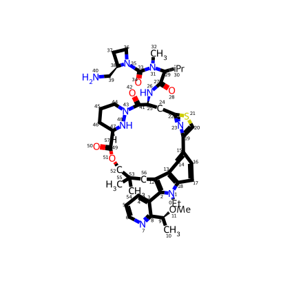 CCn1c(-c2cccnc2[C@H](C)OC)c2c3cc(ccc31)-c1csc(n1)C[C@H](NC(=O)C(C(C)C)N(C)C(=O)N1CC[C@@H]1CN)C(=O)N1CCC[C@H](N1)C(=O)OCC(C)(C)C2